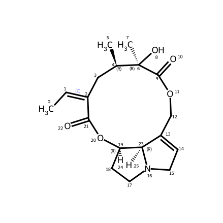 C/C=C1/C[C@@H](C)[C@@](C)(O)C(=O)OCC2=CCN3CC[C@@H](OC1=O)[C@@H]23